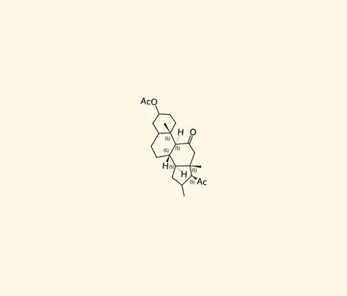 CC(=O)OC1CC[C@@]2(C)C(CC[C@H]3[C@@H]4CC(C)[C@H](C(C)=O)[C@@]4(C)CC(=O)[C@@H]32)C1